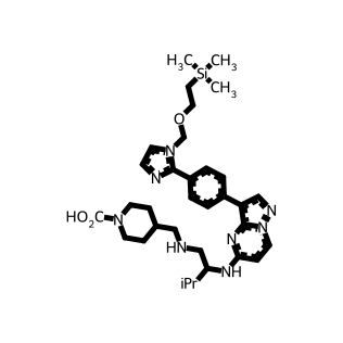 CC(C)C(CNCC1CCN(C(=O)O)CC1)Nc1ccn2ncc(-c3ccc(-c4nccn4COCC[Si](C)(C)C)cc3)c2n1